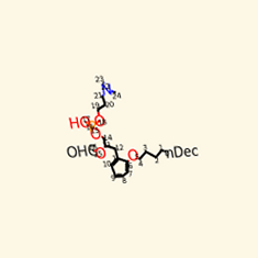 CCCCCCCCCCCCCCOc1ccccc1CC(COP(O)OCCCN(C)C)OC=O